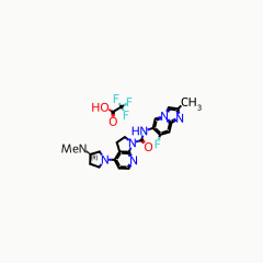 CN[C@@H]1CCN(c2ccnc3c2CCN3C(=O)Nc2cn3cc(C)nc3cc2F)C1.O=C(O)C(F)(F)F